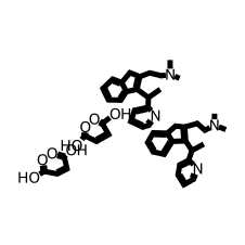 CC(C1=C(CCN(C)C)Cc2ccccc21)c1ccccn1.CC(C1=C(CCN(C)C)Cc2ccccc21)c1ccccn1.O=C(O)/C=C\C(=O)O.O=C(O)/C=C\C(=O)O